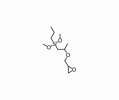 CCC[Si](CC(C)OCC1CO1)(OC)OC